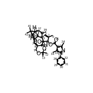 CC1=C[C@]23C(=O)[C@@H](C=C4COC(C)(C)O[C@H]4C2(O)[C@H]1OC(=O)c1c(C)nn(-c2ccccc2)c1C)[C@H]1[C@@H](C[C@H]3C)C1(C)C